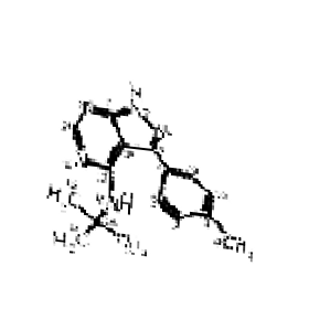 Cc1ccc(-c2n[nH]c3ncnc(NC(C)(C)C)c23)cc1